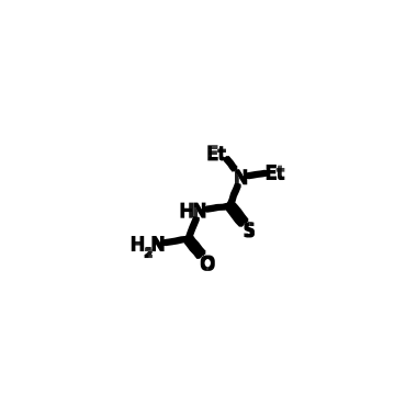 CCN(CC)C(=S)NC(N)=O